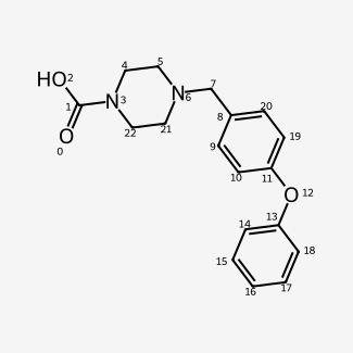 O=C(O)N1CCN(Cc2ccc(Oc3ccccc3)cc2)CC1